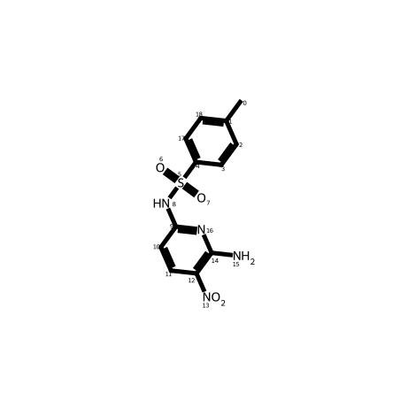 Cc1ccc(S(=O)(=O)Nc2ccc([N+](=O)[O-])c(N)n2)cc1